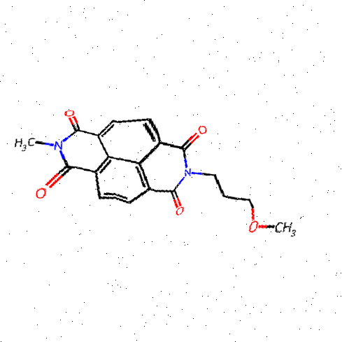 COCCCN1C(=O)c2ccc3c4c(ccc(c24)C1=O)C(=O)N(C)C3=O